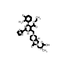 CCOC(=O)C1=C(CN2CCN3C(=S)N(C[C@@H](C)C(=O)O)C[C@@H]3C2)NC(c2nccs2)=N[C@H]1c1cccc(F)c1C